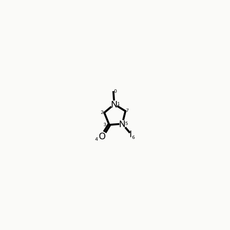 CN1CC(=O)N(I)C1